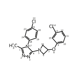 Cc1nnc(N2CC(Oc3cccc(Cl)c3)C2)n1-c1ccc(Cl)cc1